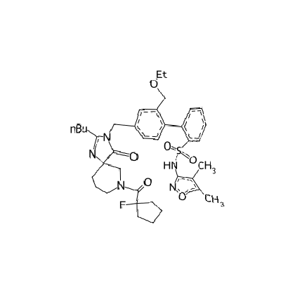 CCCCC1=NC2(CCCN(C(=O)C3(F)CCCC3)C2)C(=O)N1Cc1ccc(-c2ccccc2S(=O)(=O)Nc2noc(C)c2C)c(COCC)c1